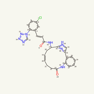 O=C(C=Cc1cc(Cl)ccc1-n1cnnn1)NC1CC=CCCC(=O)Nc2ccccc2-c2c[nH]c1n2